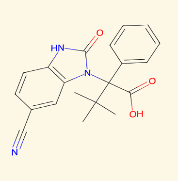 CC(C)(C)C(C(=O)O)(c1ccccc1)n1c(=O)[nH]c2ccc(C#N)cc21